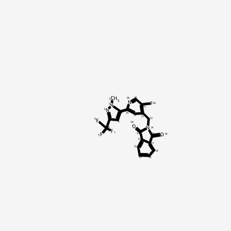 Cn1nc(C(F)(F)F)cc1-c1cc(CN2C(=O)c3ccccc3C2=O)c(F)cn1